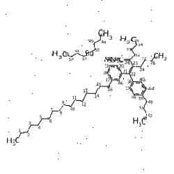 CCCCCCCCCCCCCCCCCc1cccc(C(=C(CCCC)C(=C=[N+]=[N-])CCCC)c2ccc(CCCC)cc2)c1.CCC[CH2][Pd][CH2]CCC